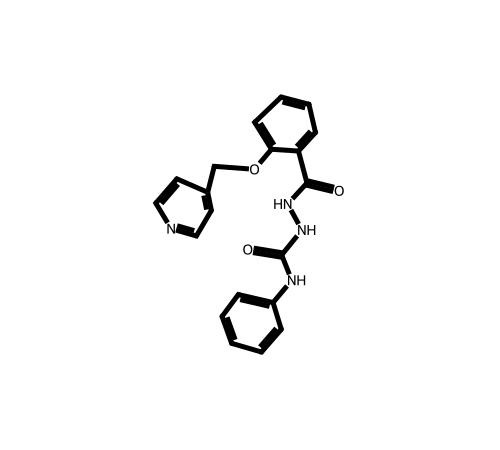 O=C(NNC(=O)c1ccccc1OCc1ccncc1)Nc1ccccc1